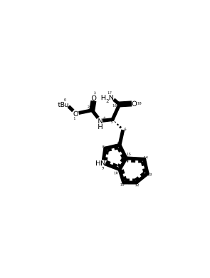 CC(C)(C)OC(=O)N[C@@H](Cc1c[nH]c2ccccc12)C(N)=O